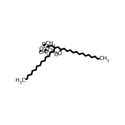 CCCCCCCCCCCCCC(=O)CC(CC(C)(C)S(=O)(=O)OC)C(=O)CCCCCCCCCCCCC